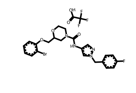 O=C(Nc1cnn(Cc2ccc(F)cc2)c1)N1CCOC(COc2ccccc2Br)C1.O=C(O)C(F)(F)F